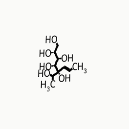 CC=C[C@](O)(C(C)O)[C@@H](O)[C@H](O)[C@H](O)CO